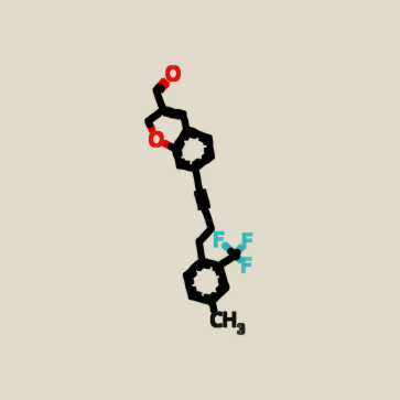 Cc1ccc(CCC#Cc2ccc3c(c2)OCC(C=O)=C3)c(C(F)(F)F)c1